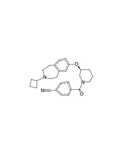 N#Cc1ccc(C(=O)N2CCC[C@H](Oc3ccc4c(c3)CCN(C3CCC3)CC4)C2)cc1